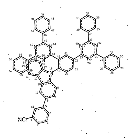 N#Cc1cccc(-c2ccc3c(c2)c2ccccc2n3-c2ccc(-c3nc(-c4ccccc4)nc(-c4ccccc4)n3)cc2-c2nc(-c3ccccc3)nc(-c3ccccc3)n2)c1